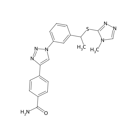 CC(Sc1nncn1C)c1cccc(-n2cc(-c3ccc(C(N)=O)cc3)nn2)c1